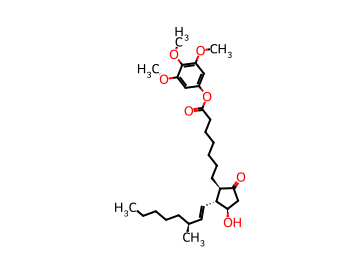 CCCCC[C@H](C)/C=C/[C@H]1[C@H](O)CC(=O)[C@@H]1CCCCCCC(=O)Oc1cc(OC)c(OC)c(OC)c1